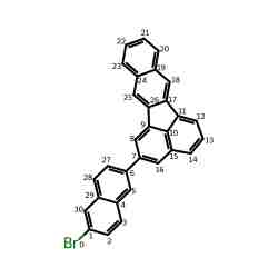 Brc1ccc2cc(-c3cc4c5c(cccc5c3)-c3cc5ccccc5cc3-4)ccc2c1